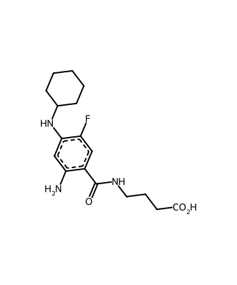 Nc1cc(NC2CCCCC2)c(F)cc1C(=O)NCCCC(=O)O